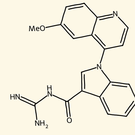 COc1ccc2nccc(-n3cc(C(=O)NC(=N)N)c4ccccc43)c2c1